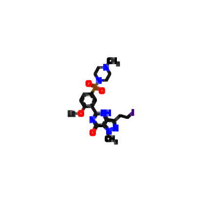 CCOc1ccc(S(=O)(=O)N2CCN(C)CC2)cc1-c1nc(=O)c2c([nH]1)c(CCI)nn2C